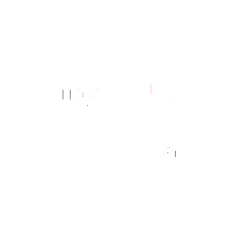 BC(CC(C)C)C(=O)O